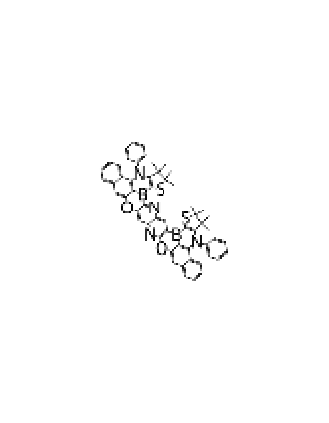 CC1(C)SC2=C(N(c3ccccc3)c3c4c(cc5ccccc35)Oc3nc5cc6c(nc5cc3B24)B2C3=C(N(c4ccccc4)c4c2c(cc2ccccc42)O6)C(C)(C)C(C)(C)S3)C1(C)C